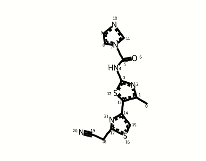 Cc1nc(NC(=O)n2ccnc2)sc1-c1csc(CC#N)n1